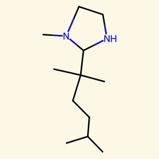 CC(C)CCC(C)(C)C1NCCN1C